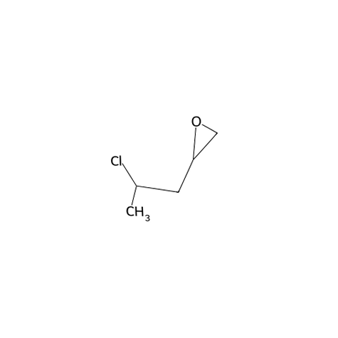 CC(Cl)CC1CO1